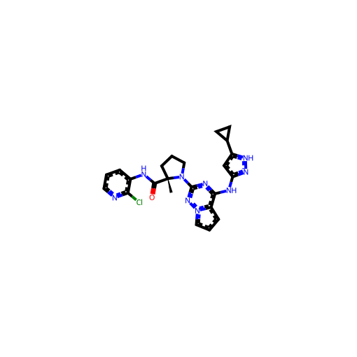 C[C@@]1(C(=O)Nc2cccnc2Cl)CCCN1c1nc(Nc2cc(C3CC3)[nH]n2)c2cccn2n1